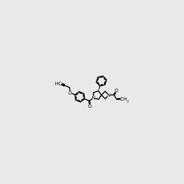 C#CCOc1ccc(C(=O)N2C[C@@H](c3ccccc3)C3(CN(C(=O)C=C)C3)C2)cc1